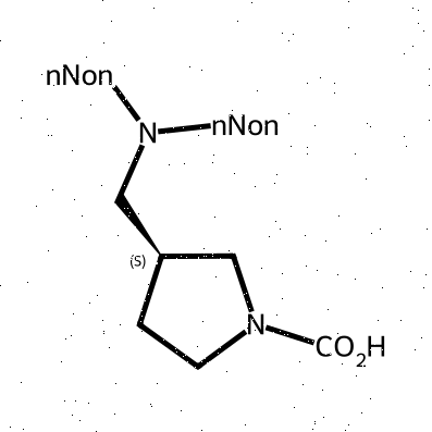 CCCCCCCCCN(CCCCCCCCC)C[C@@H]1CCN(C(=O)O)C1